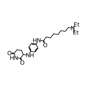 CCN(CC)CCCCCCCC(=O)Nc1ccc(NC2CCC(=O)NC2=O)cc1